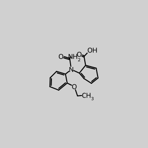 CCOc1ccccc1N(C(N)=O)c1ccccc1C(=O)O